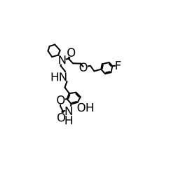 O=C1COc2c(CCNCCN(C(=O)CCOCCc3ccc(F)cc3)C3CCCCC3)ccc(O)c2N1